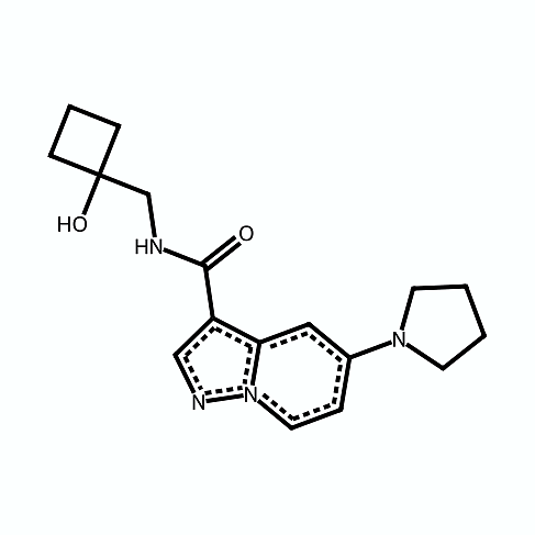 O=C(NCC1(O)CCC1)c1cnn2ccc(N3CCCC3)cc12